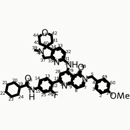 COc1ccc(Cn2ccc3nc(-c4ccc(NC(=O)C5CCCCC5)cc4F)cc(Nc4ccc5c(n4)CN(C)C54CCOCC4)c3c2=O)cc1